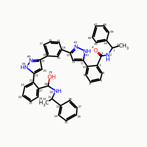 CC(NC(=O)c1ccccc1-c1cc(-c2cccc(-c3cc(-c4ccccc4C(O)NC(C)c4ccccc4)[nH]n3)c2)n[nH]1)c1ccccc1